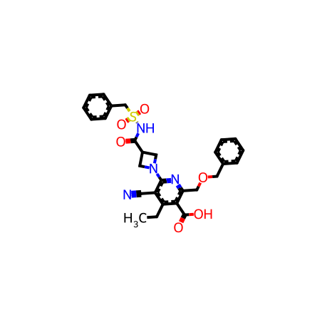 CCc1c(C#N)c(N2CC(C(=O)NS(=O)(=O)Cc3ccccc3)C2)nc(COCc2ccccc2)c1C(=O)O